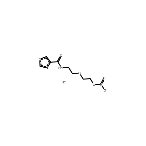 Cl.O=C(NCCOCCO[N+](=O)[O-])c1cscn1